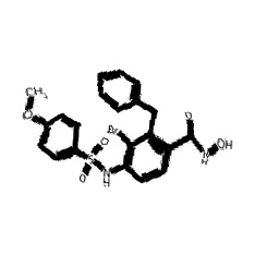 COc1ccc(S(=O)(=O)Nc2ccc(C(=O)NO)c(Cc3ccccc3)c2Br)cc1